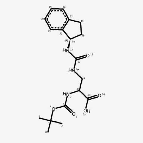 CC(C)(C)OC(=O)NC(CNC(=O)N[C@@H]1CCc2ccccc21)C(=O)O